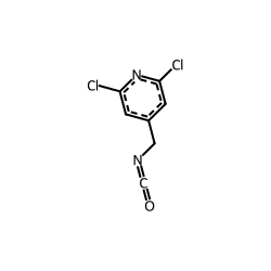 O=C=NCc1cc(Cl)nc(Cl)c1